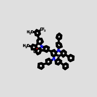 Cc1cc(-c2ccc(-n3c4ccccc4c4cc(-c5cc6c7c(c5)N(c5ccc(-c8ccccc8)cc5)c5ccc(-c8ccccc8)cc5B7c5cc(-c7ccccc7)ccc5N6c5ccc(-c6ccccc6)cc5)ccc43)c(-c3cc(C)cc(C(F)(F)F)c3)c2)cc(C(F)(F)F)c1